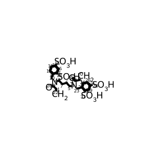 C=CC(=O)N(CCCCN(Cc1ccc(S(=O)(=O)O)cc1S(=O)(=O)O)C(=O)C=C)Cc1ccc(S(=O)(=O)O)cc1S(=O)(=O)O